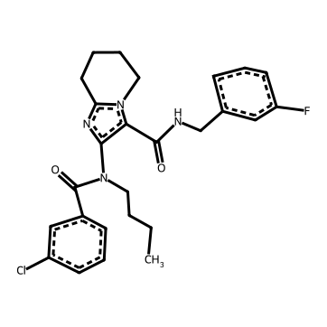 CCCCN(C(=O)c1cccc(Cl)c1)c1nc2n(c1C(=O)NCc1cccc(F)c1)CCCC2